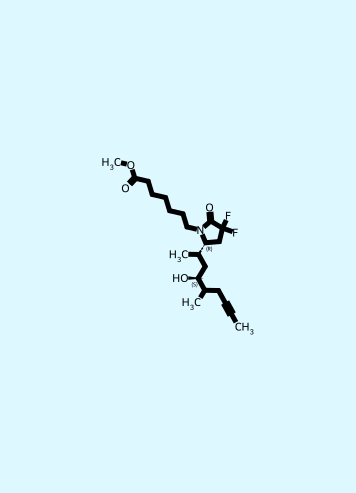 CC#CCC(C)[C@@H](O)CC(C)[C@H]1CC(F)(F)C(=O)N1CCCCCCC(=O)OC